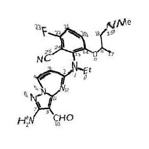 CCN(c1ccn2nc(N)c(C=O)c2n1)c1c(OC(C)CNC)ccc(F)c1C#N